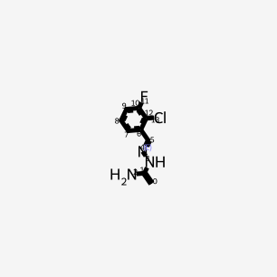 C=C(N)N/N=C/c1cccc(F)c1Cl